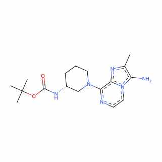 Cc1nc2c(N3CCC[C@@H](NC(=O)OC(C)(C)C)C3)nccn2c1N